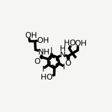 CC(CO)(CO)C(=O)Nc1c(I)c(CO)c(I)c(C(=O)NCC(O)CO)c1I